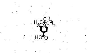 CC(C)(C)N1CCC(C(=O)O)CC1=O